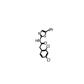 CC(C)c1cnc(NC(=O)Cc2ccc(Cl)cc2Cl)s1